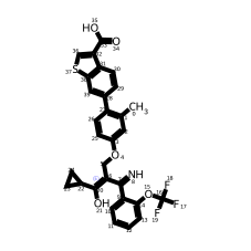 Cc1cc(OC/C(C(=N)c2ccccc2OC(F)(F)F)=C(/O)C2CC2)ccc1-c1ccc2c(C(=O)O)csc2c1